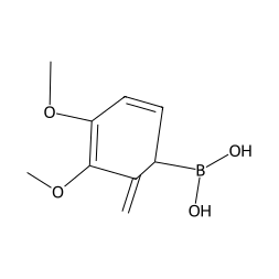 C=C1C(OC)=C(OC)C=CC1B(O)O